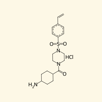 C=Cc1ccc(S(=O)(=O)N2CCN(C(=O)C3CCC(N)CC3)CC2)cc1.Cl